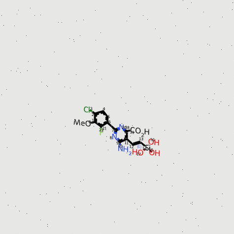 COc1c(Cl)ccc(-c2nc(N)c(/C=C/[Si](O)(O)O)c(C(=O)O)n2)c1F